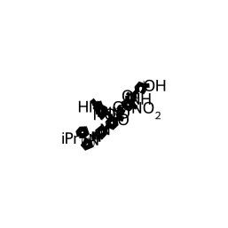 Cc1cc2cc(Oc3cc(N4CCC5(CC4)CN([C@H]4CCC[C@H]4c4ccccc4C(C)C)C5)ccc3C(=O)NS(=O)(=O)c3cc4c(c([N+](=O)[O-])c3)N[C@@H]([C@H]3CC[C@](C)(O)CC3)CO4)cnc2[nH]1